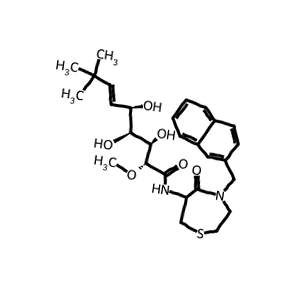 CO[C@@H](C(=O)NC1CSCCN(Cc2ccc3ccccc3c2)C1=O)[C@H](O)[C@@H](O)[C@H](O)C=CC(C)(C)C